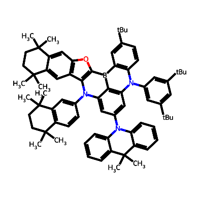 CC(C)(C)c1cc(N2c3ccc(C(C)(C)C)cc3B3c4oc5cc6c(cc5c4N(c4ccc5c(c4)C(C)(C)CCC5(C)C)c4cc(N5c7ccccc7C(C)(C)c7ccccc75)cc2c43)C(C)(C)CCC6(C)C)cc(C(C)(C)C)c1